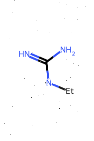 CC[N]C(=N)N